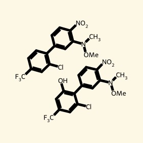 CON(C)c1cc(-c2c(O)cc(C(F)(F)F)cc2Cl)ccc1[N+](=O)[O-].CON(C)c1cc(-c2ccc(C(F)(F)F)cc2Cl)ccc1[N+](=O)[O-]